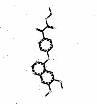 CCOC(=O)C(=O)c1ccc(Oc2ncnc3cc(OC)c(OC)cc23)cc1